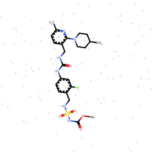 CC1CCN(c2nc(C(F)(F)F)ccc2CNC(=O)Nc2ccc(CNS(=O)(=O)NC(=O)OC(C)(C)C)c(F)c2)CC1